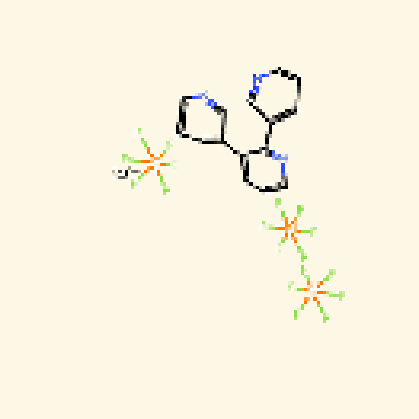 F[P-](F)(F)(F)(F)F.F[P-](F)(F)(F)(F)F.F[P-](F)(F)(F)(F)F.[Ru+3].c1cncc(-c2cccnc2-c2cccnc2)c1